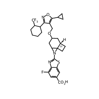 O=C(O)c1cc(F)c2nc(N3C4CC(OCc5c(C6CCCCC6C(F)(F)F)noc5C5CC5)C[C@@H]5CCC453)sc2c1